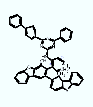 C=C/C(=C(\C=C/C)Nc1nc(-c2ccccc2)nc(-c2ccc(-c3ccccc3)cc2)n1)c1c(C2=CC=C3Sc4ccccc4C3C2C)cc2c(oc3ccccc32)c1C